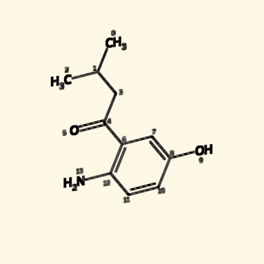 CC(C)CC(=O)c1cc(O)ccc1N